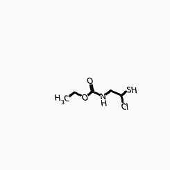 CCOC(=O)NCC(S)Cl